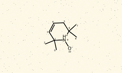 CC1(C)C=CCC(C)(C)[NH+]1[O-]